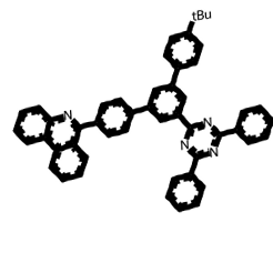 CC(C)(C)c1ccc(-c2cc(-c3ccc(-c4nc5ccccc5c5ccccc45)cc3)cc(-c3nc(-c4ccccc4)nc(-c4ccccc4)n3)c2)cc1